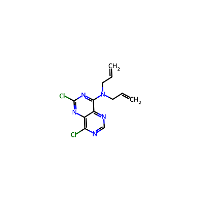 C=CCN(CC=C)c1nc(Cl)nc2c(Cl)ncnc12